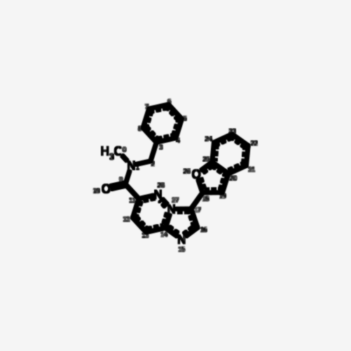 CN(Cc1ccccc1)C(=O)c1ccc2ncc(-c3cc4ccccc4o3)n2n1